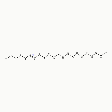 [CH2]CCCC/C=C/CCCCCCCCCCCCCCC